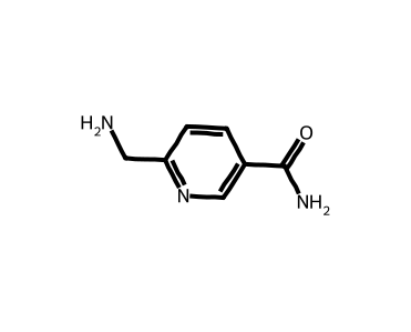 NCc1ccc(C(N)=O)cn1